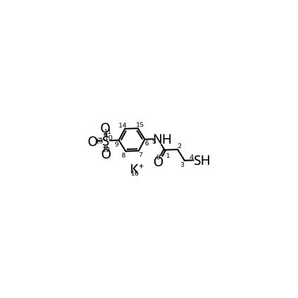 O=C(CCS)Nc1ccc(S(=O)(=O)[O-])cc1.[K+]